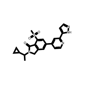 CC(C1CC1)N1Cc2cc(-c3ccnc(-c4ccn[nH]4)c3)cc(S(C)(=O)=O)c2C1=O